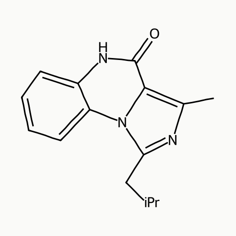 Cc1nc(CC(C)C)n2c1c(=O)[nH]c1ccccc12